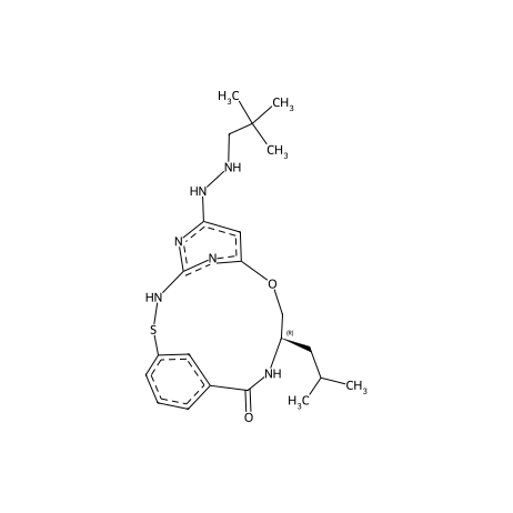 CC(C)C[C@@H]1COc2cc(NNCC(C)(C)C)nc(n2)NSc2cccc(c2)C(=O)N1